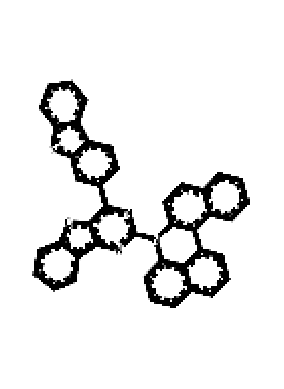 c1ccc2c3c(ccc2c1)N(c1nc(-c2ccc4c(c2)sc2ccccc24)c2oc4ccccc4c2n1)c1cccc2cccc-3c12